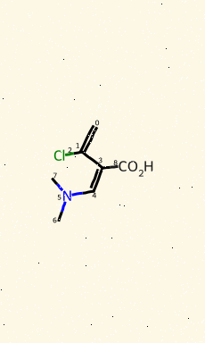 C=C(Cl)/C(=C\N(C)C)C(=O)O